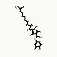 Cc1cc(NC(=O)c2c(C)c(C(=O)C(=O)NCCCCCCC(N)=O)n(C)c2C)ccc1F